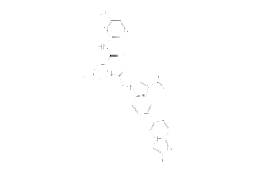 CC(=O)c1cn(CC(=O)N2C[C@H](F)C[C@H]2C(=O)Nc2cncc(Br)n2)c2ccc(-c3ccc4nc(C)cn4c3)cc12